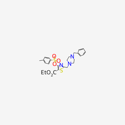 CCOC(=O)c1sc(CN2CCN(Cc3ccccc3)CC2)nc1OS(=O)(=O)c1ccc(C)cc1